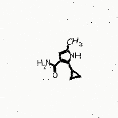 Cc1cc(C(N)=O)c(C2CC2)[nH]1